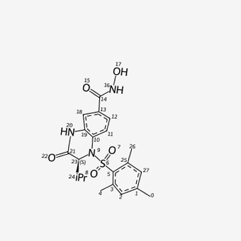 Cc1cc(C)c(S(=O)(=O)N2c3ccc(C(=O)NO)cc3NC(=O)[C@@H]2C(C)C)c(C)c1